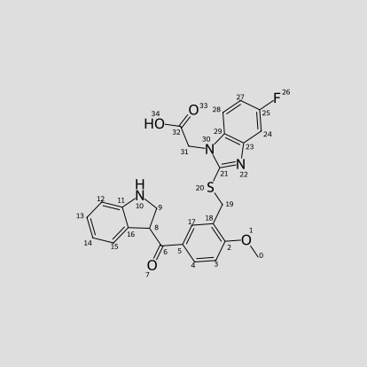 COc1ccc(C(=O)C2CNc3ccccc32)cc1CSc1nc2cc(F)ccc2n1CC(=O)O